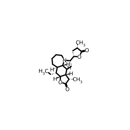 CC[C@@H]1[C@H]2CCCCN3[C@@H]2[C@@H](C[C@H]3[C@@H]2C[C@H](C)C(=O)O2)[C@H]2[C@@H]1OC(=O)[C@H]2C